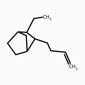 C=CCCC1C2CCC(C2)C1CC